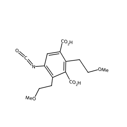 COCCc1c(N=C=O)cc(C(=O)O)c(CCOC)c1C(=O)O